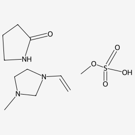 C=CN1CCN(C)C1.COS(=O)(=O)O.O=C1CCCN1